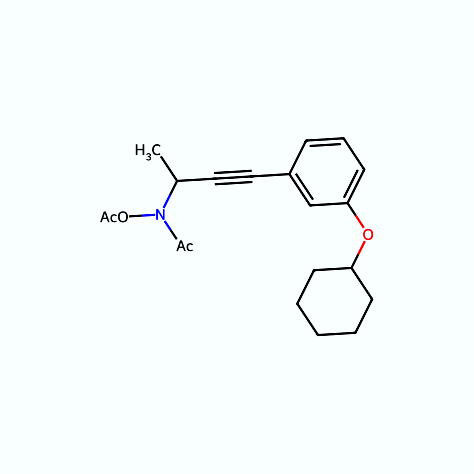 CC(=O)ON(C(C)=O)C(C)C#Cc1cccc(OC2CCCCC2)c1